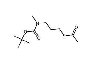 CC(=O)SCCCN(C)C(=O)OC(C)(C)C